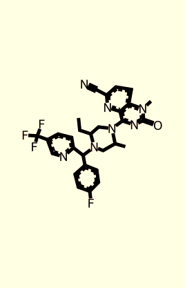 CCC1CN(c2nc(=O)n(C)c3ccc(C#N)nc23)C(C)CN1C(c1ccc(F)cc1)c1ccc(C(F)(F)F)cn1